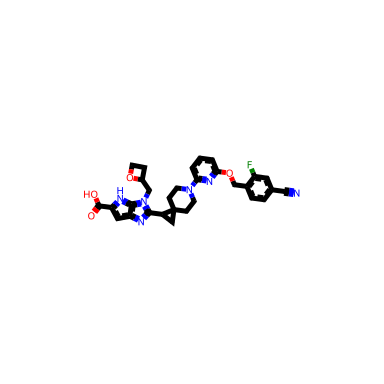 N#Cc1ccc(COc2cccc(N3CCC4(CC3)CC4c3nc4cc(C(=O)O)[nH]c4n3CC3CCO3)n2)c(F)c1